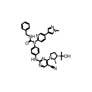 C[C@@H]1[C@H](C(C)(C)O)CCN1c1nc(Nc2ccc(N(C(=O)NCc3ccccc3)c3ccc(-c4cnn(C)c4)cn3)cc2)ncc1C#N